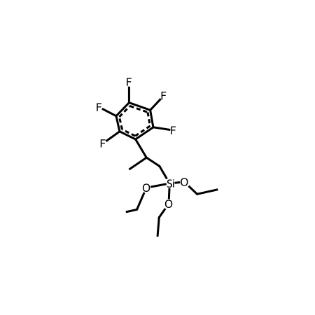 CCO[Si](CC(C)c1c(F)c(F)c(F)c(F)c1F)(OCC)OCC